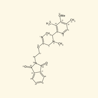 C/N=C(\CN(C)Cc1ncc(C)c(OC)c1C)OCCN1C(=O)c2ccccc2C1=O